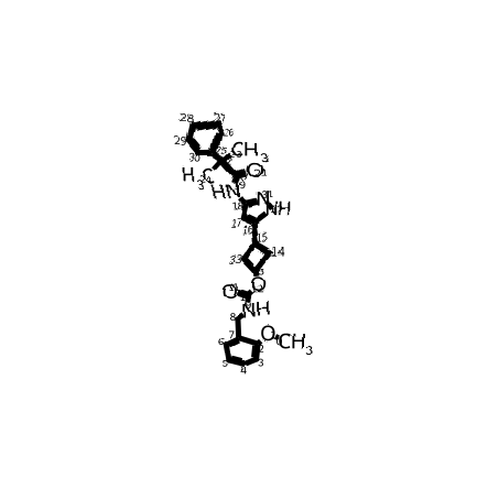 COc1ccccc1CNC(=O)OC1CC(c2cc(NC(=O)C(C)(C)c3ccccc3)n[nH]2)C1